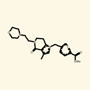 COC(=O)c1ccc(Cn2cc(C)c3c2CCN(CCN2CCOCC2)C3=O)cc1